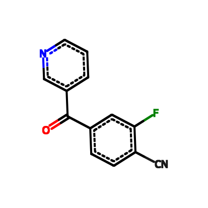 N#Cc1ccc(C(=O)c2cccnc2)cc1F